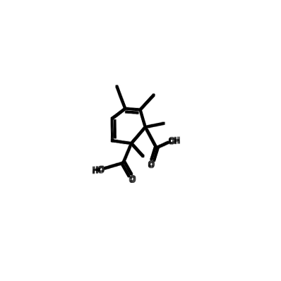 CC1=C(C)C(C)(C(=O)O)C(C)(C(=O)O)C=C1